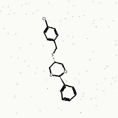 Clc1ccc(CS[C@H]2CO[C@H](c3ccccc3)OC2)cc1